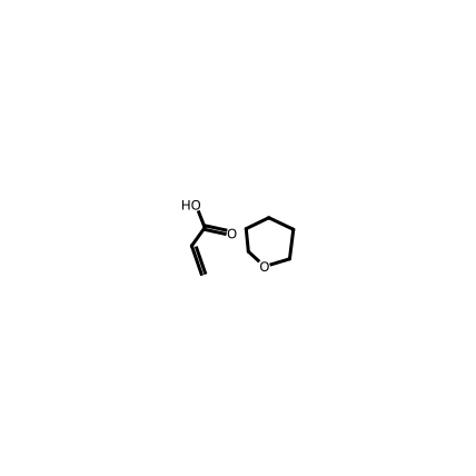 C1CCOCC1.C=CC(=O)O